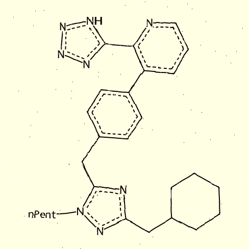 CCCCCn1nc(CC2CCCCC2)nc1Cc1ccc(-c2cccnc2-c2nnn[nH]2)cc1